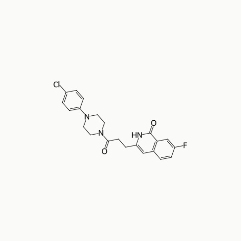 O=C(CCc1cc2ccc(F)cc2c(=O)[nH]1)N1CCN(c2ccc(Cl)cc2)CC1